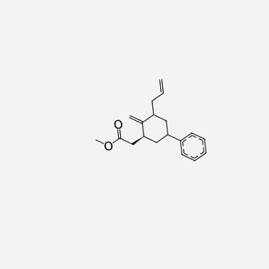 C=CCC1CC(c2ccccc2)C[C@@H](CC(=O)OC)C1=C